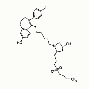 O=S(=O)(CCC[C@@H]1C[C@@H](O)CN1CCCCCCC1=C(c2ccc(F)cc2)CCCc2cc(O)ccc21)CCCC(F)(F)F